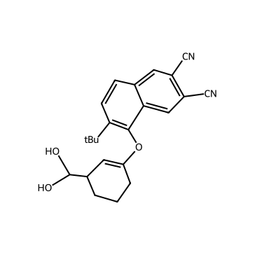 CC(C)(C)c1ccc2cc(C#N)c(C#N)cc2c1OC1=CC(C(O)O)CCC1